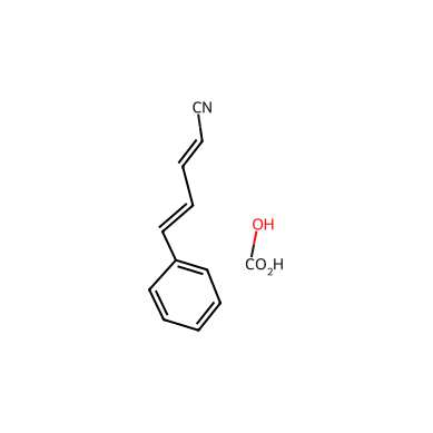 N#CC=CC=Cc1ccccc1.O=C(O)O